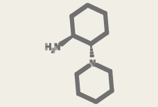 N[C@H]1CCCC[C@@H]1N1CCCCC1